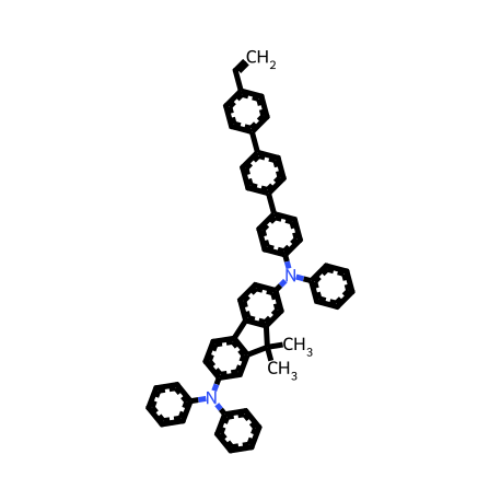 C=Cc1ccc(-c2ccc(-c3ccc(N(c4ccccc4)c4ccc5c(c4)C(C)(C)c4cc(N(c6ccccc6)c6ccccc6)ccc4-5)cc3)cc2)cc1